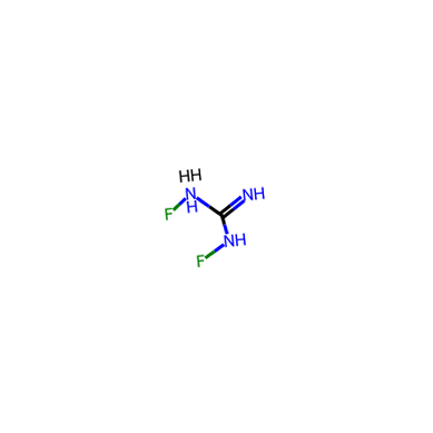 N=C(NF)NF.[HH]